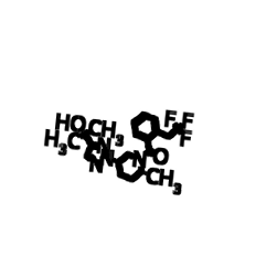 C[C@@H]1CC[C@@H](n2ncc(C(C)(C)O)n2)CN1C(=O)c1ccccc1CC(F)(F)F